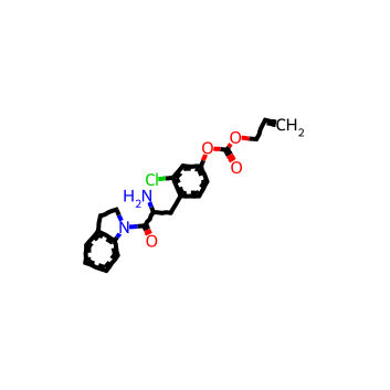 C=CCOC(=O)Oc1ccc(CC(N)C(=O)N2CCc3ccccc32)c(Cl)c1